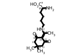 CC(NCCCC[C@@H](N)C(=O)O)=C1C(=O)CC(C)(C)CC1=O